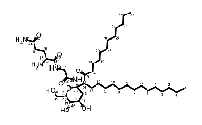 CCCCCCCCCCCCCCN(C(=O)CCCCCCCCCCC)[C@@]1(NC(=O)CNC(=O)[C@@H](N)CCC(N)=O)C[C@@H](O)[C@H](O)[C@@H](CO)O1